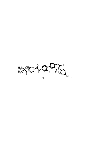 CCN(C(C)Cc1ccc(-n2ccc(NC(=O)N3CCN(C(=O)C(C)(C)N)CC3)nc2=O)cc1)C1CCC(N)CC1.Cl